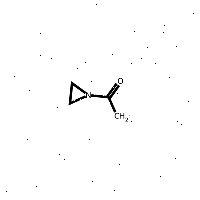 [CH2]C(=O)N1CC1